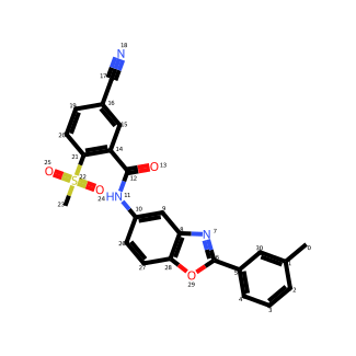 Cc1cccc(-c2nc3cc(NC(=O)c4cc(C#N)ccc4S(C)(=O)=O)ccc3o2)c1